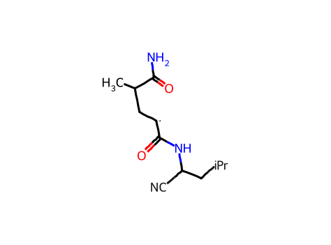 CC(C)CC(C#N)NC(=O)[CH]CC(C)C(N)=O